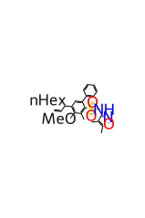 C=CC(CCCCCC)c1cc(-c2ccccc2)c(S(=O)(=O)Nc2noc(C)c2C)c(C)c1OC